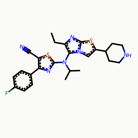 CCc1nc2sc(C3CCNCC3)cn2c1N(c1nc(-c2ccc(F)cc2)c(C#N)s1)C(C)C